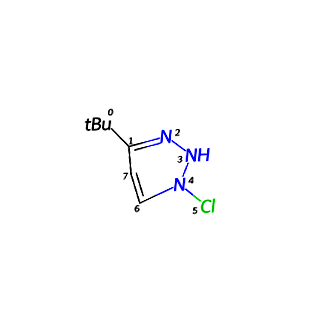 CC(C)(C)C1=NNN(Cl)C=C1